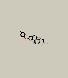 Cc1ccc(O[C@H]2C[C@H]3[C@@H]4[C@@H](C)C[C@H]5SC(=O)C=C[C@]5(C)[C@H]4CC[C@]3(C)C2)cc1